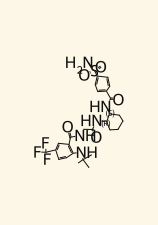 CC(C)(C)Nc1ccc(C(F)(F)F)cc1C(=O)NCC(=O)N[C@@H]1CCCC[C@@H]1NC(=O)c1ccc(S(N)(=O)=O)cc1